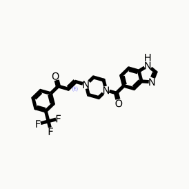 O=C(/C=C/N1CCN(C(=O)c2ccc3[nH]cnc3c2)CC1)c1cccc(C(F)(F)F)c1